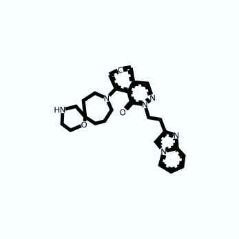 O=c1c2c(N3CCCC4(CC3)CNCCO4)cccc2cnn1CCc1cn2ccccc2n1